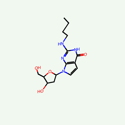 CCCCNc1nc2c(ccn2C2CC(O)C(CO)O2)c(=O)[nH]1